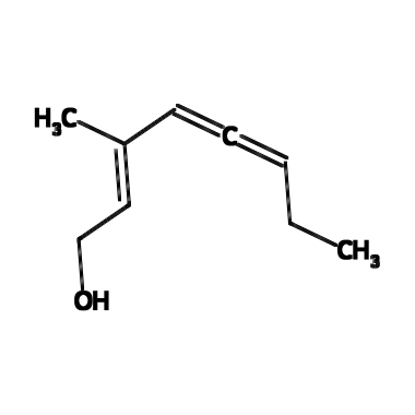 CCC=C=CC(C)=CCO